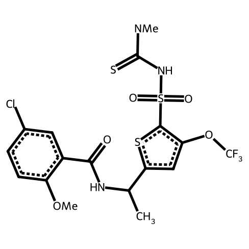 CNC(=S)NS(=O)(=O)c1sc(C(C)NC(=O)c2cc(Cl)ccc2OC)cc1OC(F)(F)F